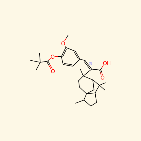 COc1cc(/C=C(/C(=O)O)C2(C)CCC34CC2C(C)(C)C3CCC4C)ccc1OC(=O)C(C)(C)C